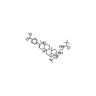 C=C(C)[C@@H]1CC[C@]2(NCCNC(=O)C(C)(C)C)CC[C@]3(C)[C@H](CC[C@@H]4[C@@]5(C)CC=C(c6ccc(C(=O)OC)cc6)C(C)(C)[C@@H]5CC[C@]43C)[C@@H]12